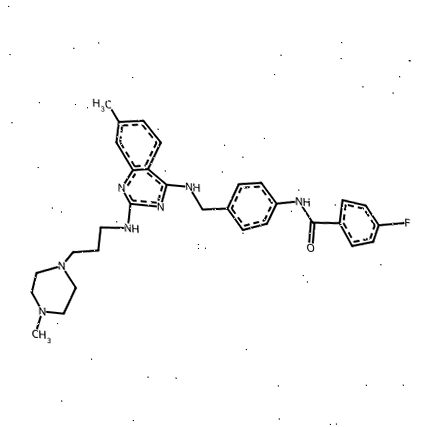 Cc1ccc2c(NCc3ccc(NC(=O)c4ccc(F)cc4)cc3)nc(NCCCN3CCN(C)CC3)nc2c1